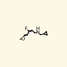 COC=C/C(F)=C\CNCC1CC1